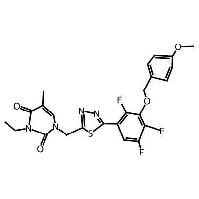 CCn1c(=O)c(C)cn(Cc2nnc(-c3cc(F)c(F)c(OCc4ccc(OC)cc4)c3F)s2)c1=O